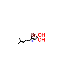 CC(C)=CCC/C(C)=C/C(O)(O)Br